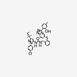 CSC(C)(C)c1cc(NC(=O)NCc2ccccc2Sc2ccc3nnc(-c4ccc(C)cc4O)n3c2)n(-c2ccc(Cl)cc2)n1